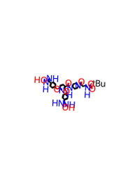 CC(C)(C)OC(=O)NCCC(=O)N1CCC(NC(=O)c2ccc(Oc3ccc(C(=N)NO)cc3)nc2Oc2ccc(C(=N)NO)cc2)CC1